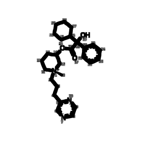 C[N@@+]1(CCCc2cnccn2)CCCC(OC(=O)C(O)(c2ccccc2)C2CCCCC2)C1